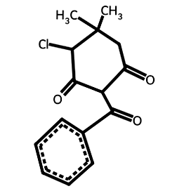 CC1(C)CC(=O)C(C(=O)c2ccccc2)C(=O)C1Cl